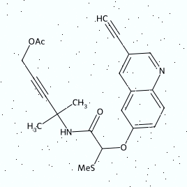 C#Cc1cnc2ccc(OC(SC)C(=O)NC(C)(C)C#CCOC(C)=O)cc2c1